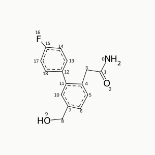 NC(=O)Cc1ccc(CO)cc1-c1ccc(F)cc1